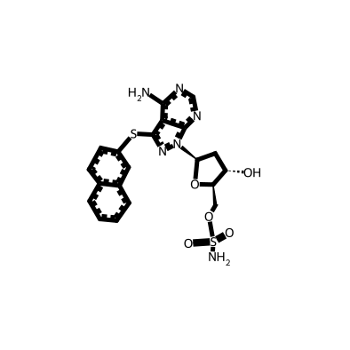 Nc1ncnc2c1c(Sc1ccc3ccccc3c1)nn2[C@H]1C[C@H](O)[C@@H](COS(N)(=O)=O)O1